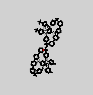 Cc1ccc2c(c1)B1c3cc(C)ccc3N(c3ccc(C(C)(C)CCC(C)(C)c4ccc(N5c6ccc(C(C)(C)C)cc6B6c7cc(C(C)(C)C)ccc7N(c7ccc(C(C)(C)C)cc7)c7cc(-n8c9cc(-c%10ccccc%10)ccc9c9ccc(-c%10ccccc%10)cc98)cc5c76)cc4)cc3)c3cc(-n4c5cc(-c6ccccc6)ccc5c5ccc(-c6ccccc6)cc54)cc(c31)N2c1ccc(C(C)(C)C)cc1